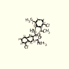 CCc1ccc(Cl)c(CC)c1NC(=O)c1nc2cccc(Cl)c2cc1C(N)=O